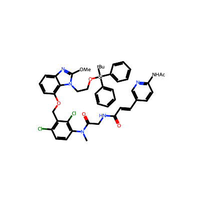 COc1nc2cccc(OCc3c(Cl)ccc(N(C)C(=O)CNC(=O)/C=C/c4ccc(NC(C)=O)nc4)c3Cl)c2n1CCO[Si](c1ccccc1)(c1ccccc1)C(C)(C)C